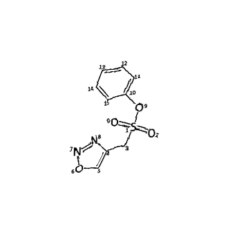 O=S(=O)(Cc1conn1)Oc1ccccc1